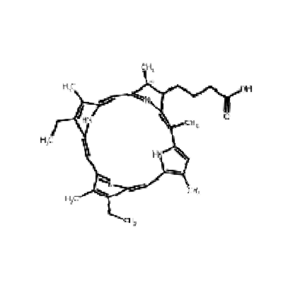 CCC1=C(C)c2cc3[nH]c(cc4nc(c(C)c5cc(C)c(cc1n2)[nH]5)C(CCCC(=O)O)[C@@H]4C)c(C)c3CC